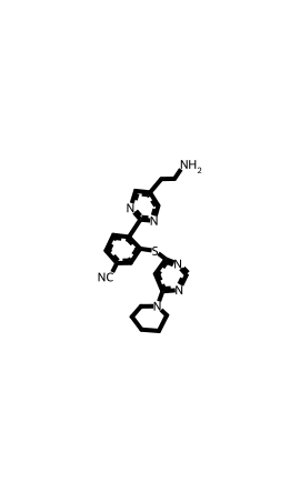 N#Cc1ccc(-c2ncc(CCN)cn2)c(Sc2cc(N3CCCCC3)ncn2)c1